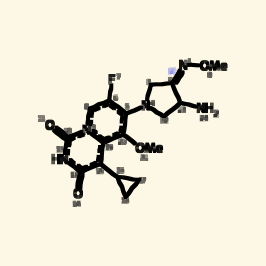 CO/N=C1/CN(c2c(F)cn3c(=O)[nH]c(=O)c(C4CC4)c3c2OC)CC1N